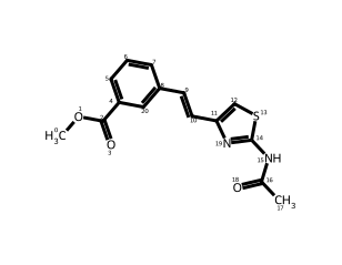 COC(=O)c1cccc(C=Cc2csc(NC(C)=O)n2)c1